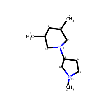 CC1CC(C)CN(C2CCN(C)C2)C1